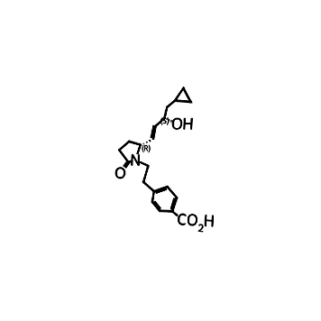 O=C(O)c1ccc(CCN2C(=O)CC[C@@H]2C=C[C@@H](O)CC2CC2)cc1